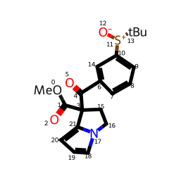 COC(=O)C1(C(=O)c2cccc([S+]([O-])C(C)(C)C)c2)CCn2cccc21